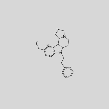 FCc1ccc2c(n1)C1C3CCCN3CCC1N2CCc1ccccc1